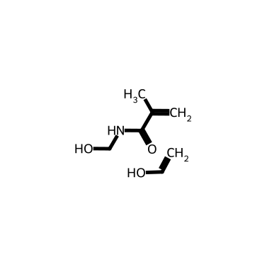 C=C(C)C(=O)NCO.C=CO